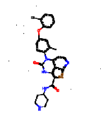 CCc1ccccc1Oc1ccc(N2C(=O)Nc3c(C(=O)NC4CCNCC4)sc4nccc2c34)c(C)c1